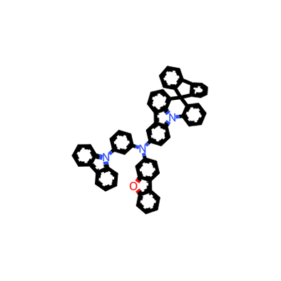 c1cc(N(c2ccc3c(c2)oc2ccccc23)c2ccc3c(c2)c2cccc4c2n3-c2ccccc2C42c3ccccc3-c3ccccc32)cc(-n2c3ccccc3c3ccccc32)c1